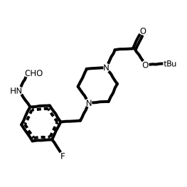 CC(C)(C)OC(=O)CN1CCN(Cc2cc(NC=O)ccc2F)CC1